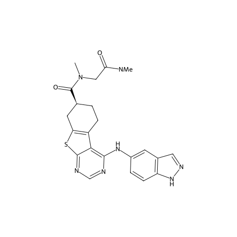 CNC(=O)CN(C)C(=O)[C@H]1CCc2c(sc3ncnc(Nc4ccc5[nH]ncc5c4)c23)C1